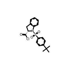 CC(C)(C)c1ccc(S(=O)(=O)N2c3ccccc3C[C@H]2C(=O)Cl)cc1